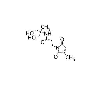 CC1=CC(=O)N(CCC(=O)NC(C)(CO)CO)C1=O